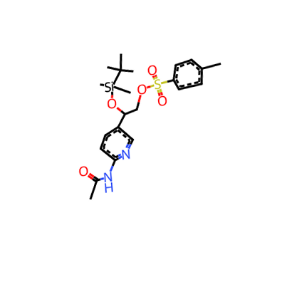 CC(=O)Nc1ccc(C(COS(=O)(=O)c2ccc(C)cc2)O[Si](C)(C)C(C)(C)C)cn1